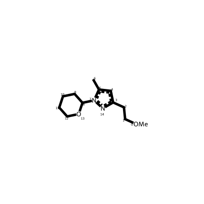 COCCc1cc(C)n(C2CCCCO2)n1